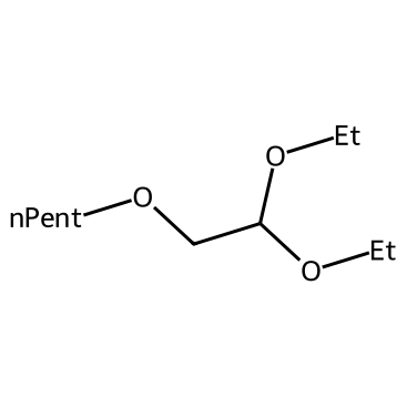 CCCCCOCC(OCC)OCC